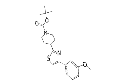 COc1cccc(-c2csc(C3CCN(C(=O)OC(C)(C)C)CC3)n2)c1